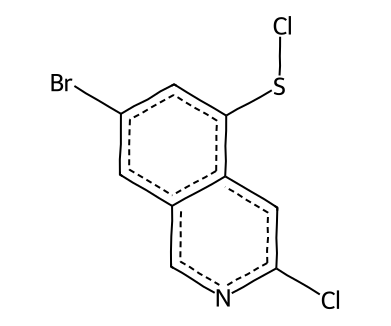 ClSc1cc(Br)cc2cnc(Cl)cc12